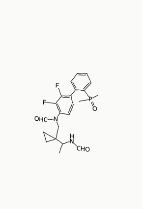 CC(NC=O)C1(CN(C=O)c2ccc(-c3ccccc3P(C)(C)=O)c(F)c2F)CC1